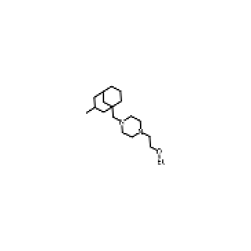 CCOCCN1CCN(CC23CCCC(CC(C)C2)C3)CC1